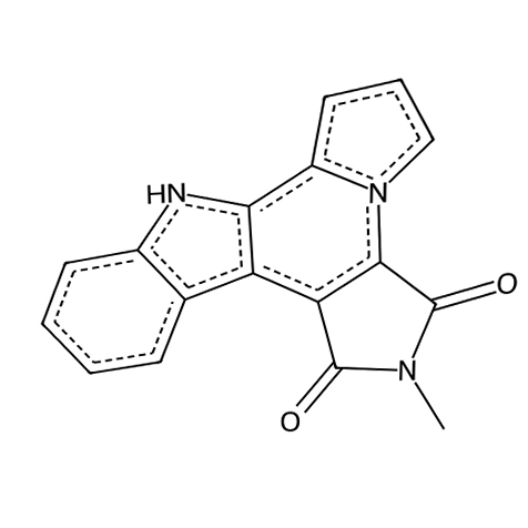 CN1C(=O)c2c(n3cccc3c3[nH]c4ccccc4c23)C1=O